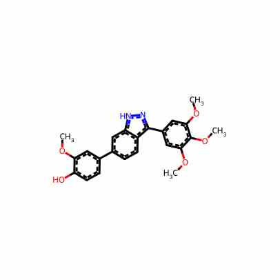 COc1cc(-c2ccc3c(-c4cc(OC)c(OC)c(OC)c4)n[nH]c3c2)ccc1O